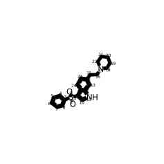 O=S(=O)(c1ccccc1)c1c[nH]c2cc(CCN3CCCCC3)ccc12